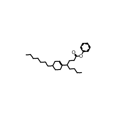 CCCCCCCC1CC=C(C(CCCC)CCC(=O)Oc2ccccc2)CC1